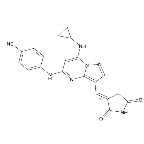 N#Cc1ccc(Nc2cc(NC3CC3)n3ncc(/C=C4\CC(=O)NC4=O)c3n2)cc1